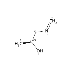 C=NC[C@H](C)O